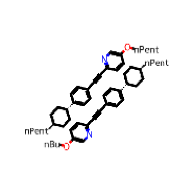 CCCCCOc1ccc(C#Cc2ccc([C@H]3CC[C@H](CCCCC)CC3)cc2)nc1.CCCCC[C@H]1CC[C@H](c2ccc(C#Cc3ccc(OCCCC)cn3)cc2)CC1